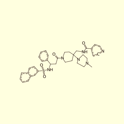 CN1CCN(C2(CNC(=O)c3ccncc3)CCN(C(=O)CC(NS(=O)(=O)c3ccc4ccccc4c3)c3ccccc3)CC2)CC1